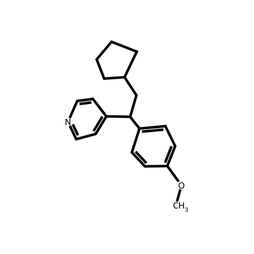 COc1ccc(C(CC2CCCC2)c2ccncc2)cc1